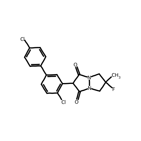 CC1(F)CN2C(=O)C(c3cc(-c4ccc(Cl)cc4)ccc3Cl)C(=O)N2C1